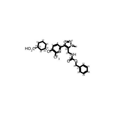 Cn1nnc(-c2ccc(O[C@H]3CCC[C@H](C(=O)O)C3)c(C(F)(F)F)n2)c1CNC(=O)OCc1ccccc1